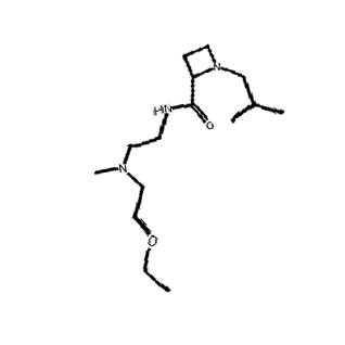 CCOCCN(C)CCNC(=O)C1CCN1CC(C)C